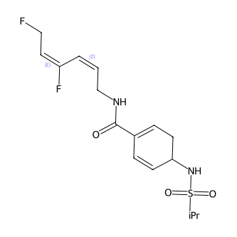 CC(C)S(=O)(=O)NC1C=CC(C(=O)NC/C=C\C(F)=C/CF)=CC1